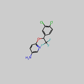 Nc1ccc(OC(c2ccc(Cl)c(Cl)c2)C(F)(F)F)nc1